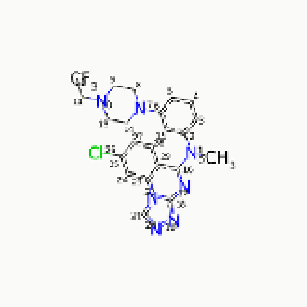 CN(c1cccc(N2CCN(CC(F)(F)F)CC2)c1)c1nc2nncn2c2cc(Cl)ccc12